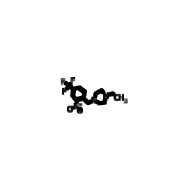 CCN1CCN(Cc2ccc(C(F)(F)F)cc2[N+](=O)[O-])CC1